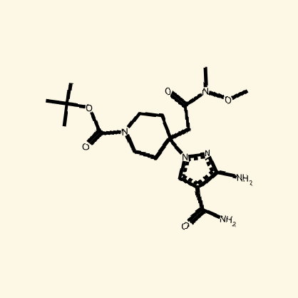 CON(C)C(=O)CC1(n2cc(C(N)=O)c(N)n2)CCN(C(=O)OC(C)(C)C)CC1